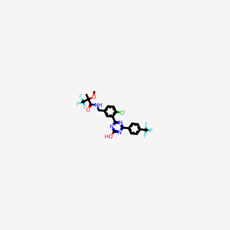 COC(C)(C(=O)NCc1ccc(Cl)c(-c2nc(O)nc(-c3ccc(C(F)(F)F)cc3)n2)c1)C(F)(F)F